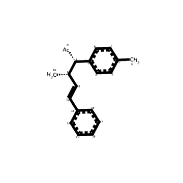 CC(=O)[C@H](c1ccc(C)cc1)[C@@H](C)/C=C/c1ccccc1